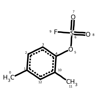 Cc1ccc(OS(=O)(=O)F)c(C)c1